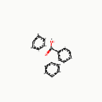 O=C(O)c1ccccc1.c1ccccc1.c1ccccc1